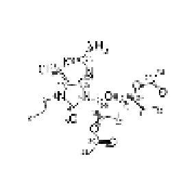 CCCn1c(=O)n([C@@H]2O[C@H]([C@H](CC)OC(C)=O)C[C@H]2OC(C)=O)c2nc(N)nc(Cl)c21